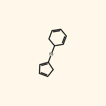 C1=CC[C]([Fe][CH]2C=CC=CC2)=C1